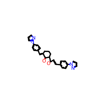 O=C(/C=C/c1ccc(-n2cccn2)cc1)C1CCC/C(=C\c2ccc(-n3cccn3)cc2)C1=O